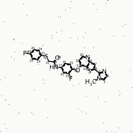 Cn1ccnc1-c1cc2nccc(Oc3ccc(NC(=O)CSc4ccc(F)cc4)cc3F)c2s1